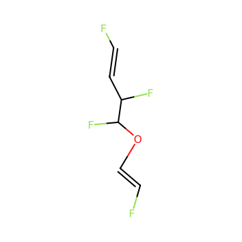 FC=COC(F)C(F)C=CF